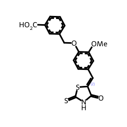 COc1cc(/C=C2\SC(=S)NC2=O)ccc1OCc1cccc(C(=O)O)c1